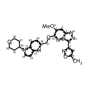 COc1cc2nnc(-c3cc(C)on3)n2nc1OCc1ccc2c(ccn2C2CCOCC2)n1